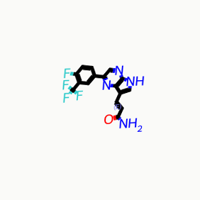 NC(=O)/C=C/c1c[nH]c2ncc(-c3ccc(F)c(C(F)(F)F)c3)nc12